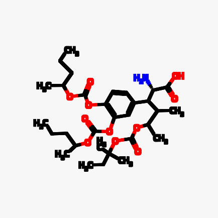 CCCC(C)OC(=O)Oc1ccc(C(C(C)C(C)OC(=O)OC(C)(C)CC)[C@H](N)C(=O)O)cc1OC(=O)OC(C)CCC